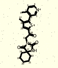 Cc1ccncc1-c1sc(C(=O)CN2C(=O)NC3(CCCCC3)C2=O)cc1C